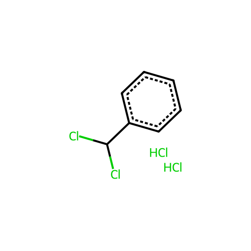 Cl.Cl.ClC(Cl)c1ccccc1